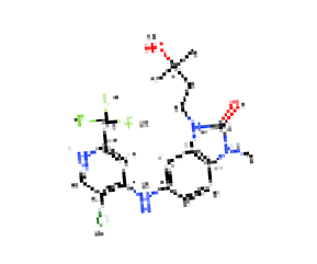 Cn1c(=O)n(CCC(C)(C)O)c2cc(Nc3cc(C(F)(F)F)ncc3Cl)ccc21